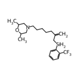 C=C(CCCCCN1CC(C)OC(C)C1)C[SiH2]c1ccccc1C(F)(F)F